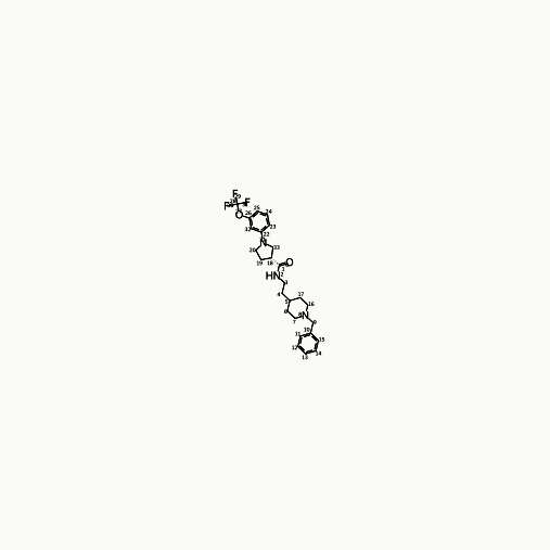 O=C(NCCC1CCN(Cc2ccccc2)CC1)[C@@H]1CCN(c2cccc(OC(F)(F)F)c2)C1